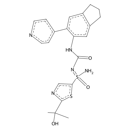 CC(C)(O)c1ncc(S(N)(=O)=NC(=O)Nc2cc3c(cc2-c2ccncc2)CCC3)s1